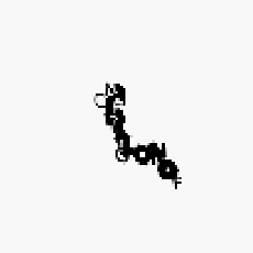 O=C(c1ccc2c(cnn2-c2ccc(F)cc2)c1)N1CC(N2CCN(C(=O)c3nccs3)CC2)C1